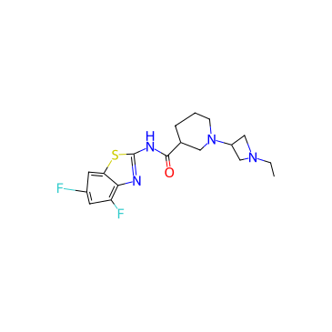 CCN1CC(N2CCCC(C(=O)Nc3nc4c(F)cc(F)cc4s3)C2)C1